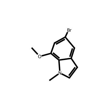 COc1cc(Br)cc2ccn(C)c12